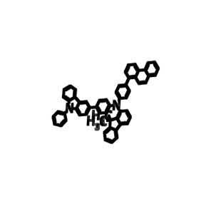 CC1(C)c2ccccc2-c2cccc(N(c3ccc(-c4ccc5c(c4)c4ccccc4n5-c4ccccc4)cc3)c3ccc(-c4cccc5c4ccc4ccccc45)cc3)c21